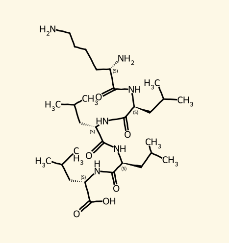 CC(C)C[C@H](NC(=O)[C@H](CC(C)C)NC(=O)[C@H](CC(C)C)NC(=O)[C@H](CC(C)C)NC(=O)[C@@H](N)CCCCN)C(=O)O